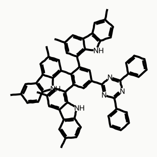 Cc1ccc2[nH]c3c(-c4cc(-c5nc(-c6ccccc6)nc(-c6ccccc6)n5)cc(-c5cc(C)cc6c5[nH]c5ccc(C)cc56)c4-c4cc(C)cc5c4[nH]c4ccc(C)cc45)cc(C)cc3c2c1